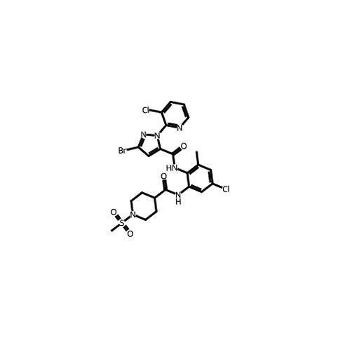 Cc1cc(Cl)cc(NC(=O)C2CCN(S(C)(=O)=O)CC2)c1NC(=O)c1cc(Br)nn1-c1ncccc1Cl